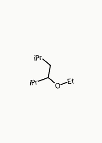 [CH2]COC(CC(C)C)C(C)C